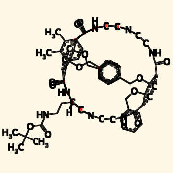 Cc1c2ccc(c1C)C(=O)NCCN1CCNC(=O)c3ccc(c(OCc4ccccc4)c3OCc3ccccc3)C(=O)NCCN(CCNC2=O)CCNC(=O)c2ccc(c(OCc3ccccc3)c2OCc2ccccc2)C(=O)N[C@@H](CCNC(=O)OC(C)(C)C)C1